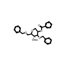 CO[C@@H]1C(COCc2ccccc2)OCC(OC(=O)c2ccccc2)C1OCc1ccccc1